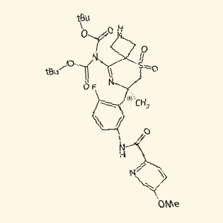 COc1ccc(C(=O)Nc2ccc(F)c([C@]3(C)CS(=O)(=O)C4(CNC4)C(N(C(=O)OC(C)(C)C)C(=O)OC(C)(C)C)=N3)c2)nc1